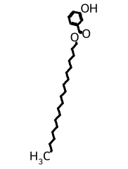 CCCCCCCCCCCCCCCCCCCCOC(=O)c1cccc(O)c1